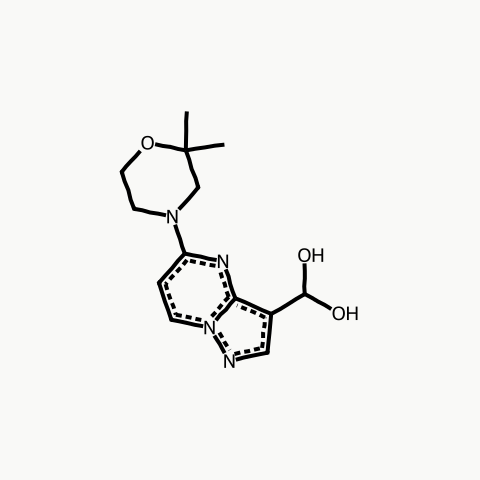 CC1(C)CN(c2ccn3ncc(C(O)O)c3n2)CCO1